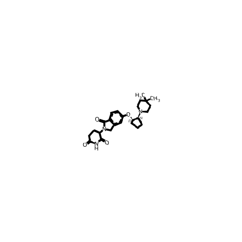 CC1(C)CCN([C@H]2CCC[C@@H]2Oc2ccc3c(c2)CN(C2CCC(=O)NC2=O)C3=O)CC1